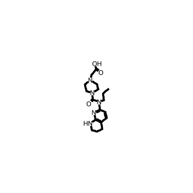 CCCN(C(=O)N1CCN(CC(=O)O)CC1)c1ccc2c(n1)NCCC2